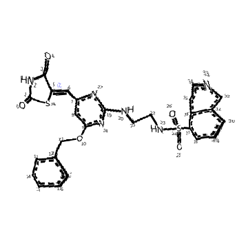 O=C1NC(=O)/C(=C/c2cc(OCc3ccccc3)nc(NCCNS(=O)(=O)c3cccc4cnccc34)n2)S1